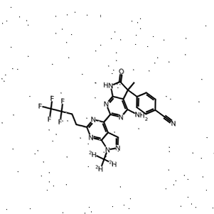 [2H]C([2H])([2H])n1ncc2c(-c3nc(N)c4c(n3)NC(=O)C4(C)c3ccc(C#N)cc3)nc(CCC(F)(F)C(F)(F)F)nc21